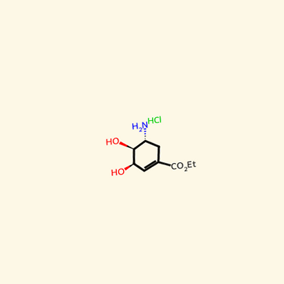 CCOC(=O)C1=C[C@@H](O)[C@@H](O)[C@H](N)C1.Cl